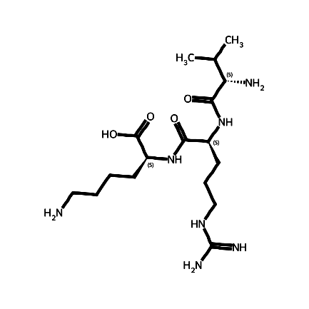 CC(C)[C@H](N)C(=O)N[C@@H](CCCNC(=N)N)C(=O)N[C@@H](CCCCN)C(=O)O